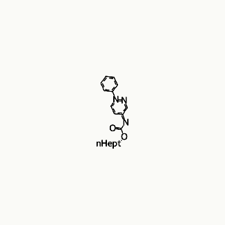 CCCCCCCOC(=O)/N=c1\ccn(-c2ccccc2)nc1